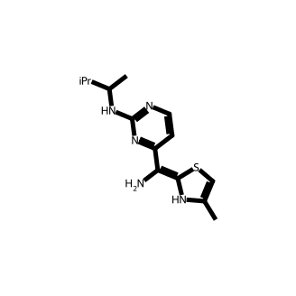 CC1=CS/C(=C(/N)c2ccnc(NC(C)C(C)C)n2)N1